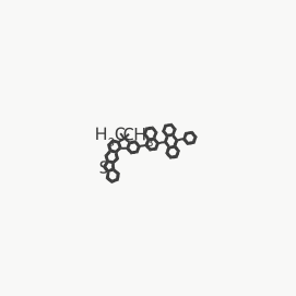 CC1(C)c2cc(-c3ccc(-c4c5ccccc5c(-c5ccccc5)c5ccccc45)c4ccccc34)ccc2-c2c1ccc1cc3sc4ccccc4c3cc21